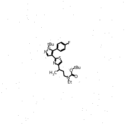 CCN(CCC(C)c1csc(-c2cnn(C(C)(C)C)c2-c2ccc(F)cc2)n1)C(=O)OC(C)(C)C